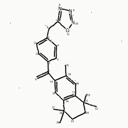 C=C(c1ccc(Cc2nnno2)cc1)c1cc2c(cc1C)C(C)(C)CCC2(C)C